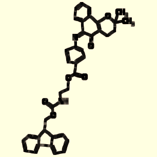 CC1(C)CCC2=C(O1)c1ccccc1C(=Nc1ccc(C(=O)OCCNC(=O)OCC3c4ccccc4-c4ccccc43)cc1)C2=O